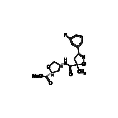 COC(=O)[C@H]1C[C@@H](NC(=O)C2(C)CC(c3cccc(F)c3)=NO2)CO1